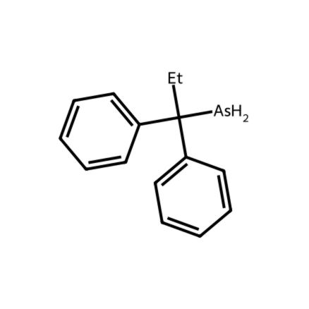 CCC([AsH2])(c1ccccc1)c1ccccc1